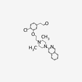 C[C@@H]1CN(c2cc3ccccc3cn2)C[C@H](C)N1CCOc1cc(CC=O)ccc1Cl